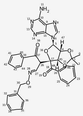 CC1(C)O[C@H]2[C@H](n3cnc4c(N)ncnc43)O[C@](C(=O)c3ccccc3)(C(C=NOCc3ccccc3)C(=O)c3ccccc3)[C@H]2O1